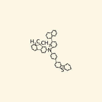 CC1(C)c2ccccc2-c2ccc(N(c3ccc(-c4ccc5sc6ccccc6c5c4)cc3)c3cccc(-c4cccc5ccccc45)c3)cc21